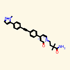 CN(/C=C\C(=C/C=O)c1ccc(C#Cc2ccc(-c3ccnn3C)cc2)cc1)CCC(C)(C)C(N)=O